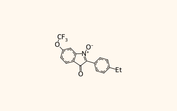 CCc1ccc(C2=[N+]([O-])c3cc(OC(F)(F)F)ccc3C2=O)cc1